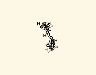 CN(C)C(C(=O)N1CCCC1C(=O)Nc1ccc2[nH]c(-c3ccc(NC(=O)[C@@H]4CCCN4C(=O)[C@](OC(N)=O)(c4ccccc4)C(C)(C)C)cc3)cc2c1)c1ccccc1